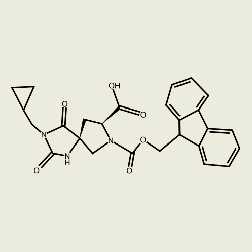 O=C(O)[C@@H]1C[C@@]2(CN1C(=O)OCC1c3ccccc3-c3ccccc31)NC(=O)N(CC1CC1)C2=O